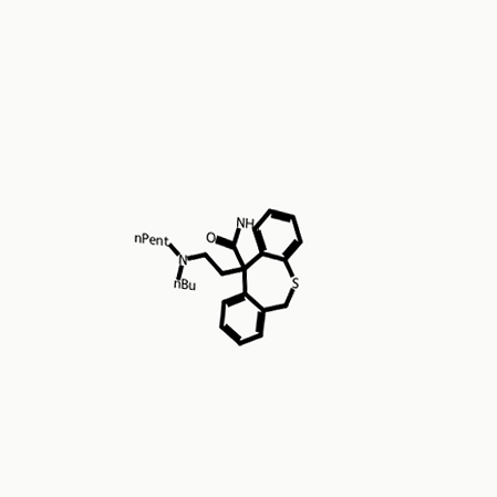 CCCCCN(CCCC)CCC1(C(N)=O)c2ccccc2CSc2ccccc21